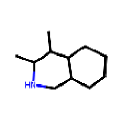 CC1NCC2CCCCC2C1C